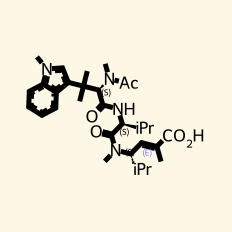 CC(=O)N(C)[C@H](C(=O)N[C@H](C(=O)N(C)[C@H](/C=C(\C)C(=O)O)C(C)C)C(C)C)C(C)(C)c1cn(C)c2ccccc12